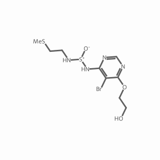 CSCCN[S+]([O-])Nc1ncnc(OCCO)c1Br